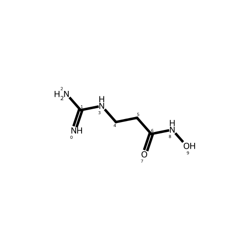 N=C(N)NCCC(=O)NO